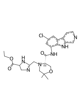 CCOC(=O)C1CN=C(CN2CC(C)(C)OC[C@H]2C(=O)Nc2cc(Cl)cc3c2[nH]c2cnccc23)N1